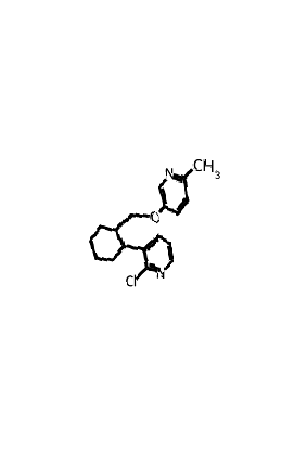 Cc1ccc(OCC2CCCCC2c2cccnc2Cl)cn1